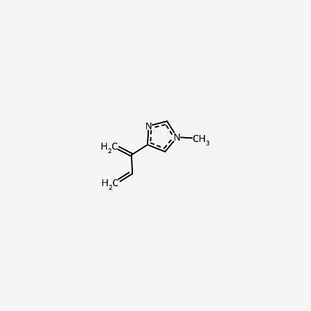 C=CC(=C)c1cn(C)cn1